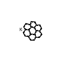 [K].c1cc2ccc3ccc4ccc5ccc6ccc1c1c2c3c4c5c61